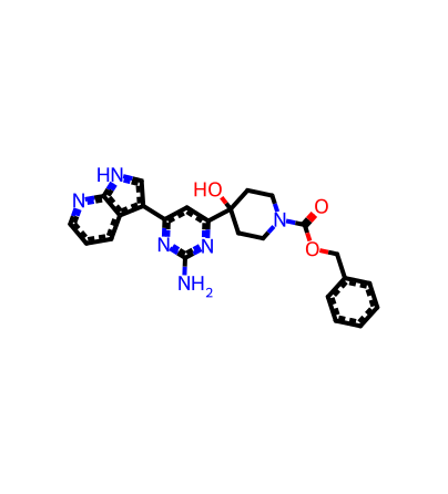 Nc1nc(-c2c[nH]c3ncccc23)cc(C2(O)CCN(C(=O)OCc3ccccc3)CC2)n1